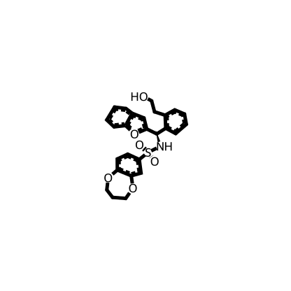 O=S(=O)(N[C@@H](c1cc2ccccc2o1)c1ccccc1CCO)c1ccc2c(c1)OCCCO2